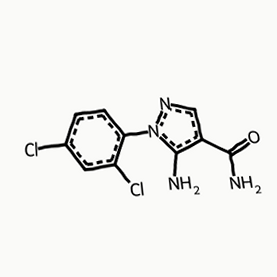 NC(=O)c1cnn(-c2ccc(Cl)cc2Cl)c1N